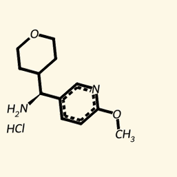 COc1ccc([C@@H](N)C2CCOCC2)cn1.Cl